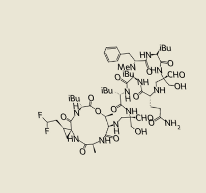 CC[C@H](C)[C@H](NC(=O)[C@@H](Cc1ccccc1)NC)C(=O)N[C@](C=O)(CO)CN[C@H](CCC(N)=O)C(=O)N[C@@H](C(=O)N[C@H](C(=O)N[C@](C=O)(CO)CN[C@H]1C(=O)N[C@@H](C)C(=O)N[C@@]2(C[C@H]2CC(F)F)C(=O)N[C@@H]([C@@H](C)CC)C(=O)O[C@H]1C)[C@@H](C)CC)[C@@H](C)CC